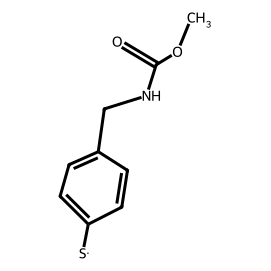 COC(=O)NCc1ccc([S])cc1